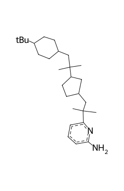 CC(C)(CC1CCC(C(C)(C)CC2CCC(C(C)(C)C)CC2)C1)c1cccc(N)n1